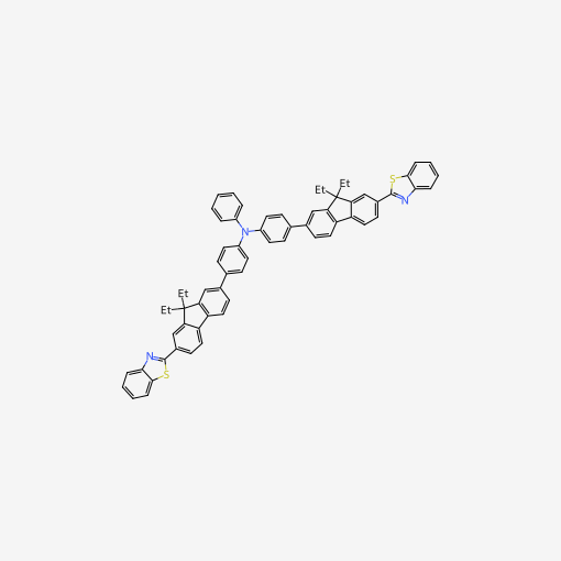 CCC1(CC)c2cc(-c3ccc(N(c4ccccc4)c4ccc(-c5ccc6c(c5)C(CC)(CC)c5cc(-c7nc8ccccc8s7)ccc5-6)cc4)cc3)ccc2-c2ccc(-c3nc4ccccc4s3)cc21